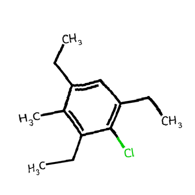 CCc1cc(CC)c(Cl)c(CC)c1C